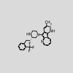 CC1=Cc2c(c3ccccnc-3c2N2CCN[C@@H](CCc3ccccc3C(F)(F)F)C2)NS1